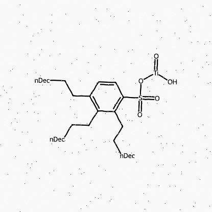 CCCCCCCCCCCCc1ccc(S(=O)(=O)[O][Ti](=[O])[OH])c(CCCCCCCCCCCC)c1CCCCCCCCCCCC